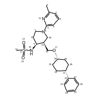 Cc1cccc(N2CC[C@H](NS(C)(=O)=O)[C@H](CO[C@H]3CC[C@@H](c4ccccc4)CC3)C2)n1